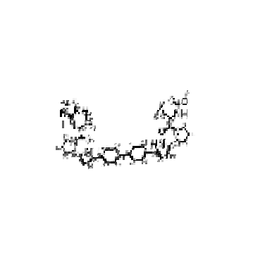 COC(=O)NC(C(=O)N1CCC[C@H]1c1ncc(-c2ccc(-c3ccc(-c4cnc([C@@H]5CCCN5C(=O)[C@H](NC5=NCCN5)C(C)C)[nH]4)cc3)cc2)[nH]1)C1CC1